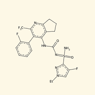 CCn1cc(F)c(S(N)(=O)=NC(=O)Nc2c3c(nc(C(F)(F)F)c2-c2ccccc2F)CCC3)n1